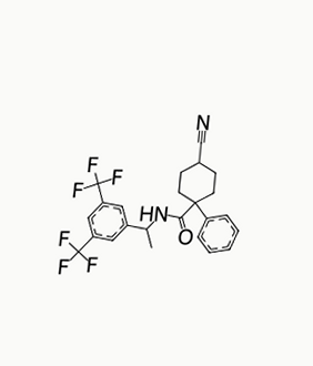 CC(NC(=O)C1(c2ccccc2)CCC(C#N)CC1)c1cc(C(F)(F)F)cc(C(F)(F)F)c1